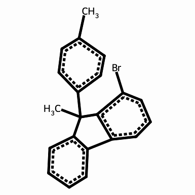 Cc1ccc(C2(C)c3ccccc3-c3cccc(Br)c32)cc1